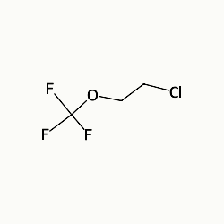 FC(F)(F)OCCCl